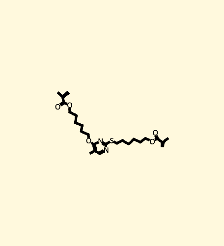 C=C(C)C(=O)OCCCCCCOc1nc(SCCCCCCOC(=O)C(=C)C)ncc1C